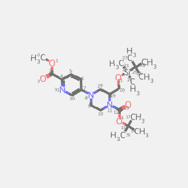 COC(=O)c1ccc(N2CCN(C(=O)OC(C)(C)C)C(CO[Si](C)(C)C(C)(C)C)C2)cn1